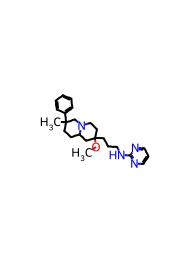 COC1(CCCNc2ncccn2)CCN2CC(C)(c3ccccc3)CCC2C1